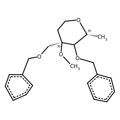 CO[C@@]1(COCc2ccccc2)CCO[C@H](C)C1OCc1ccccc1